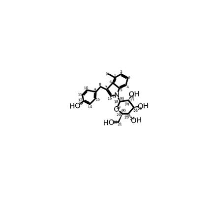 Cc1cccc2c1c(Cc1ccc(O)cc1)cn2[C@@H]1O[C@H](CO)[C@@H](O)[C@H](O)[C@H]1O